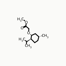 COC(=O)CO[C@@H]1C[C@H](C)CC[C@H]1C(C)C